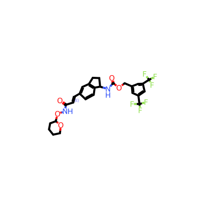 O=C(/C=C/c1ccc2c(c1)CCC2NC(=O)OCc1cc(C(F)(F)F)cc(C(F)(F)F)c1)NOC1CCCCO1